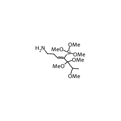 COC(C)C(OC)(OC)C(=CCCN)[Si](OC)(OC)OC